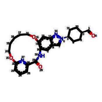 O=C[C@H]1CC[C@H](n2cc3cc4c(cc3n2)OCCCCCOc2cccc(n2)C(=O)N4)CC1